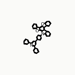 c1ccc(-c2cc(-c3ccc(-n4c5ccccc5c5c6c7ccccc7oc6c6c7ccccc7oc6c54)cc3)cc(-c3ccccc3)n2)cc1